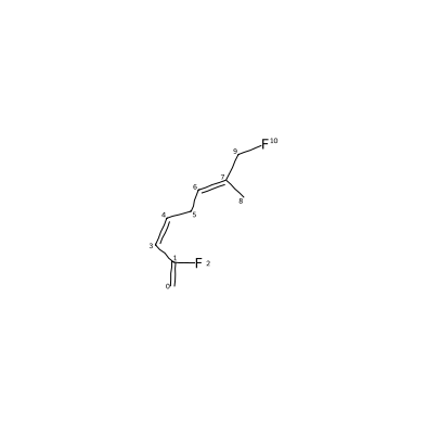 C=C(F)/C=C\C/C=C(\C)CF